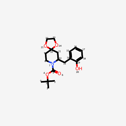 CC(C)(C)OC(=O)N1CCC2(CC1Cc1ccccc1O)OCCO2